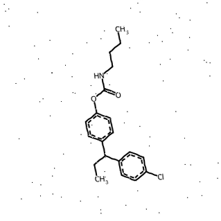 CCCCNC(=O)Oc1ccc([C](CC)c2ccc(Cl)cc2)cc1